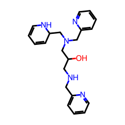 OC(CNCc1ccccn1)CN(Cc1ccccn1)CC1C=CC=CN1